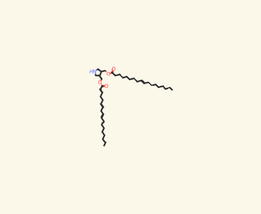 CCCCCCCCC=CCCCCCCCC(=O)OCC1CNCC1COC(=O)CCCCCCCC=CCCCCCCCC